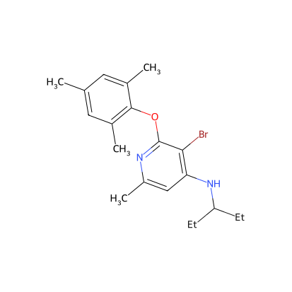 CCC(CC)Nc1cc(C)nc(Oc2c(C)cc(C)cc2C)c1Br